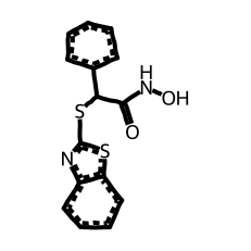 O=C(NO)C(Sc1nc2ccccc2s1)c1ccccc1